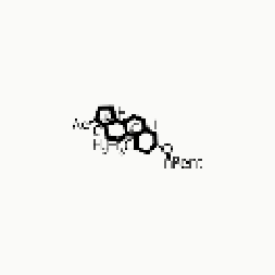 CCCCCO[C@@H]1CC[C@@]2(C)[C@@H](CC[C@H]3[C@@H]4CC[C@H](C(C)=O)[C@@]4(C)CC[C@@]32Cl)C1